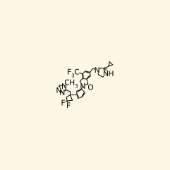 Cn1cnnc1CC1(c2cccc(N3Cc4c(cc(CN5CCN[C@H](C6CC6)C5)cc4C(F)(F)F)C3=O)c2)CC(F)(F)C1